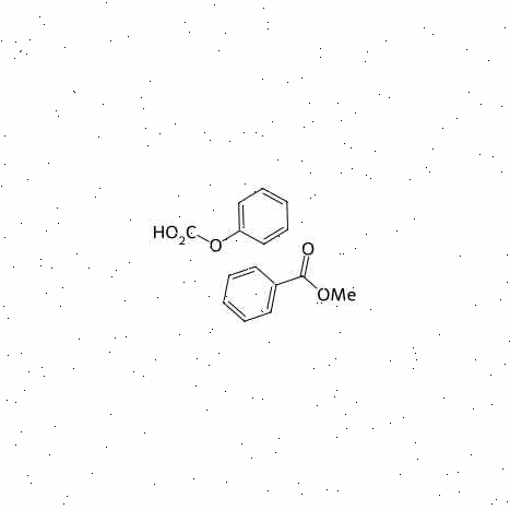 COC(=O)c1ccccc1.O=C(O)Oc1ccccc1